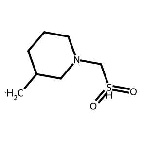 [CH2]C1CCCN(C[SH](=O)=O)C1